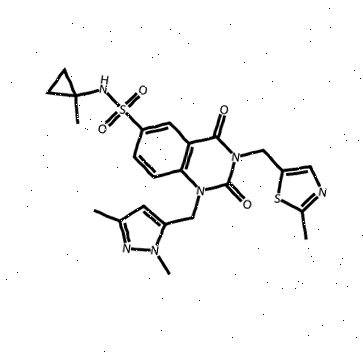 Cc1cc(Cn2c(=O)n(Cc3cnc(C)s3)c(=O)c3cc(S(=O)(=O)NC4(C)CC4)ccc32)n(C)n1